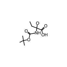 CCC([O])(NC(=O)OC(C)(C)C)C(=O)O